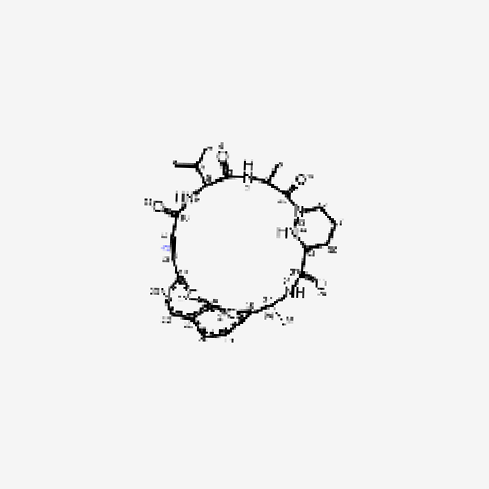 CC1NC(=O)C(C(C)C)NC(=O)/C=C\c2cc3cc(ccc3cn2)[C@@H](C)NC(=O)C2CCCN(N2)C1=O